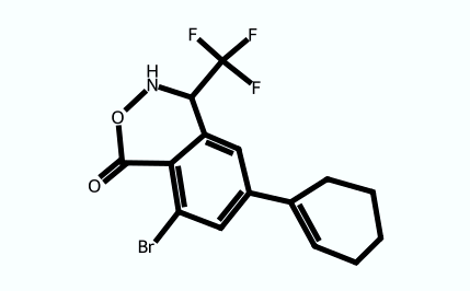 O=C1ONC(C(F)(F)F)c2cc(C3=CCCCC3)cc(Br)c21